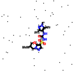 CNC1COc2c(S(=O)(=O)NC(=O)Nc3c(C(C)C)nn(C)c3C(C)C)cnn2C1